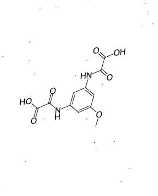 COc1cc(NC(=O)C(=O)O)cc(NC(=O)C(=O)O)c1